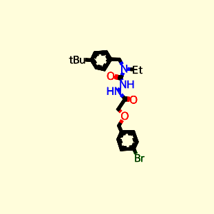 CCN(Cc1ccc(C(C)(C)C)cc1)C(=O)NNC(=O)COCc1ccc(Br)cc1